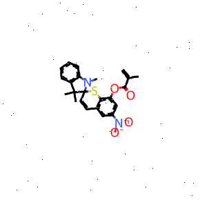 C=C(C)C(=O)Oc1cc([N+](=O)[O-])cc2c1SC1(C=C2)N(C)c2ccccc2C1(C)C